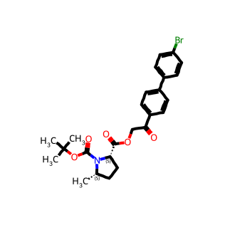 C[C@H]1CC[C@@H](C(=O)OCC(=O)c2ccc(-c3ccc(Br)cc3)cc2)N1C(=O)OC(C)(C)C